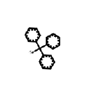 [Se]C(c1ccccc1)(c1ccccc1)c1ccccc1